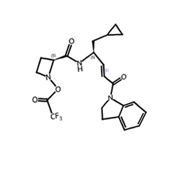 O=C(N[C@H](/C=C/C(=O)N1CCc2ccccc21)CC1CC1)[C@@H]1CCN1OC(=O)C(F)(F)F